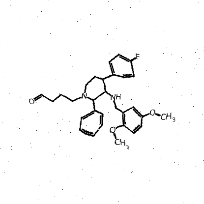 COc1ccc(OC)c(CNC2C(c3ccc(F)cc3)CCN(CCCC=O)C2c2ccccc2)c1